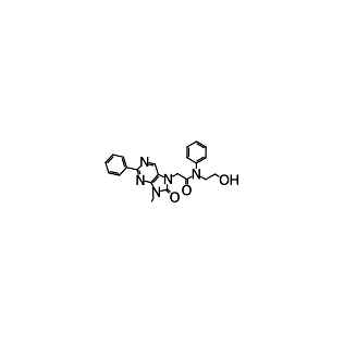 Cn1c(=O)n(CC(=O)N(CCO)c2ccccc2)c2cnc(-c3ccccc3)nc21